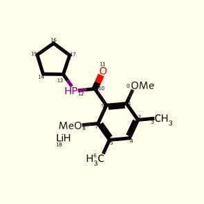 COc1c(C)cc(C)c(OC)c1C(=O)PC1CCCC1.[LiH]